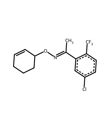 C/C(=N\OC1C=CCCC1)c1cc(Cl)ccc1C(F)(F)F